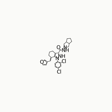 O=C(NN1CC2CCCC2C1)C1NN(c2ccc(Cl)cc2Cl)C2=C1CCC/C2=C\c1ccoc1